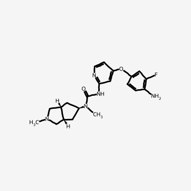 CN1C[C@H]2C[C@H](N(C)C(=O)Nc3cc(Oc4ccc(N)c(F)c4)ccn3)C[C@H]2C1